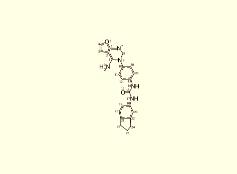 NC1=c2ccoc2=NCN1c1ccc(NC(=O)Nc2ccc3c(c2)CCC3)cc1